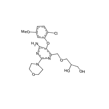 COc1ccc(Cl)c(Oc2c(N)nc(N3CCOCC3)nc2COCC(O)CO)c1